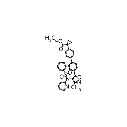 CCOC(=O)C1(c2ccc(-c3ccc(-c4onc(C)c4N(c4ccccn4)S(=O)(=O)c4ccccc4)cc3)cc2)CC1